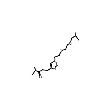 CC(C)COCCOCCn1cc(CCC(=O)C(C)C)nn1